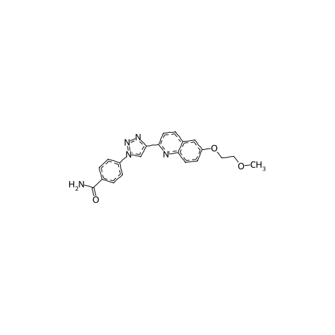 COCCOc1ccc2nc(-c3cn(-c4ccc(C(N)=O)cc4)nn3)ccc2c1